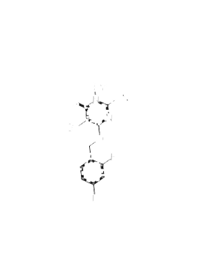 CC(C)n1c(C#N)nc(OCc2ccc(F)cc2F)c(Br)c1=O